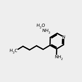 CCCCCc1ccncc1N.N.O